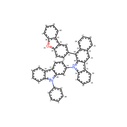 c1ccc(-n2c3ccccc3c3ccc(-n4c5ccccc5c5cc6ccccc6c(-c6ccc7oc8ccccc8c7c6)c54)cc32)cc1